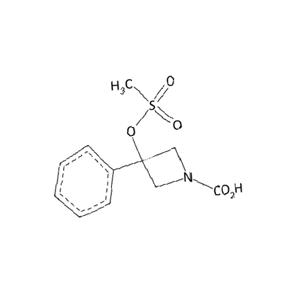 CS(=O)(=O)OC1(c2ccccc2)CN(C(=O)O)C1